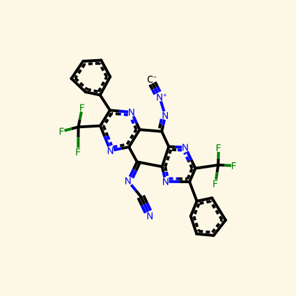 [C-]#[N+]/N=C1\c2nc(-c3ccccc3)c(C(F)(F)F)nc2/C(=N/C#N)c2nc(-c3ccccc3)c(C(F)(F)F)nc21